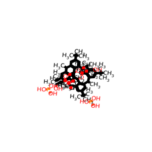 CC1c2cc(C(C)(C)C)cc(C(C)(C)C)c2C2OC(C(C)(C)CO)(OC3(c4c(cc(C(C)(C)C)cc4C(C)(C)C)C(C)c4cc(C(C)(C)C)cc(C(C)(C)C)c43)C23COC(C(C)(C)CO)OC3)c2c1cc(C(C)(C)C)cc2C(C)(C)C.OP(O)O.OP(O)O